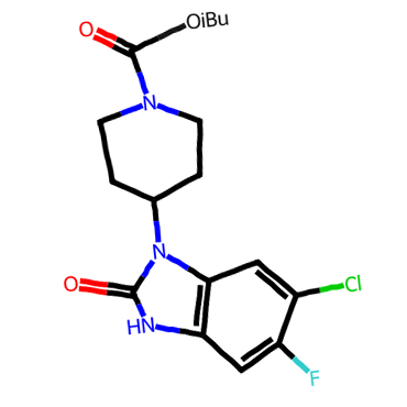 CC(C)COC(=O)N1CCC(n2c(=O)[nH]c3cc(F)c(Cl)cc32)CC1